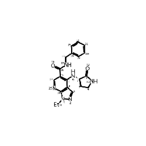 CCn1ncc2c(N[C@H]3CCNC3=O)c(C(=O)NCc3ccccc3)cnc21